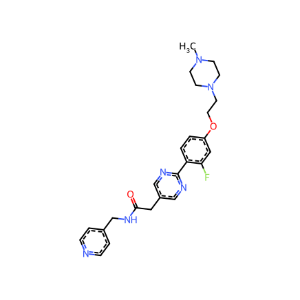 CN1CCN(CCOc2ccc(-c3ncc(CC(=O)NCc4ccncc4)cn3)c(F)c2)CC1